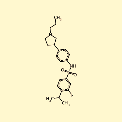 CCCN1CCC(c2ccc(NS(=O)(=O)c3ccc(C(C)C)c(F)c3)cc2)C1